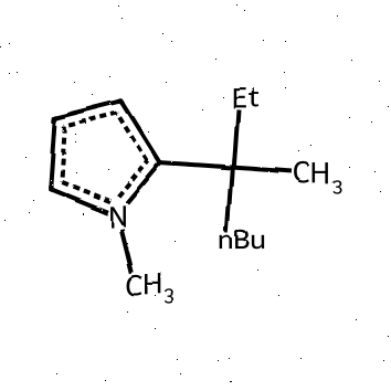 CCCCC(C)(CC)c1cccn1C